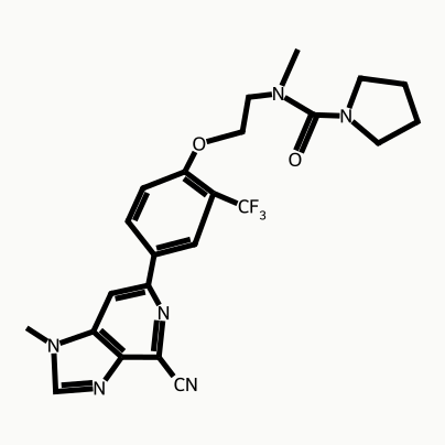 CN(CCOc1ccc(-c2cc3c(ncn3C)c(C#N)n2)cc1C(F)(F)F)C(=O)N1CCCC1